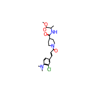 COC(=O)C(C)NC(=O)C1CCN(C(=O)/C=C/c2ccc(N(C)C)c(Cl)c2)CC1